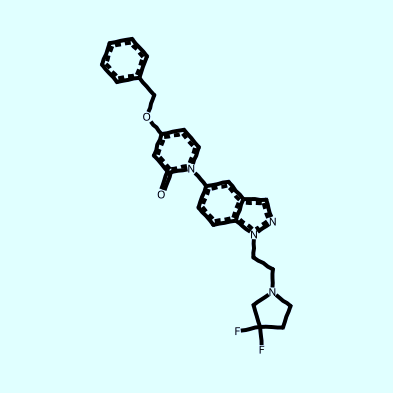 O=c1cc(OCc2ccccc2)ccn1-c1ccc2c(cnn2CCN2CCC(F)(F)C2)c1